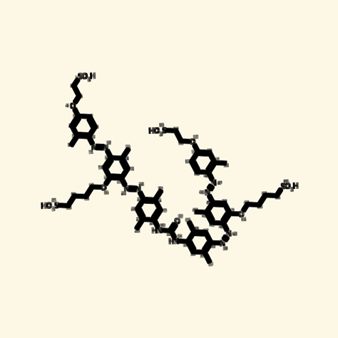 Cc1cc(OCCS(=O)(=O)O)ccc1N=Nc1cc(OCCCCS(=O)(=O)O)c(N=Nc2cc(C)c(NC(=O)Nc3cc(C)c(/N=N\c4cc(C)c(N=Nc5ccc(OCCS(=O)(=O)O)cc5C)cc4OCCCCS(=O)(=O)O)cc3C)cc2C)cc1C